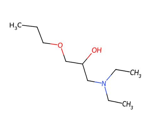 CCCOCC(O)CN(CC)CC